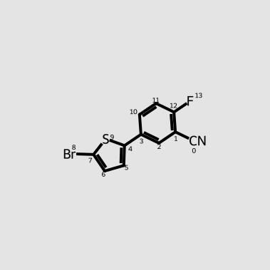 N#Cc1cc(-c2ccc(Br)s2)ccc1F